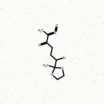 CCC(CCC(=O)C(C)=S=O)C1(C)OCCO1